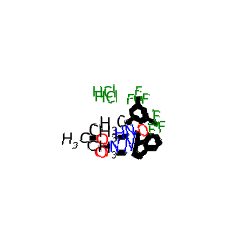 C[C@H](NC(=O)[C@]1(N2CCN(C(=O)OC(C)(C)C)CC2)CCc2ccccc21)c1cc(C(F)(F)F)cc(C(F)(F)F)c1.Cl.Cl